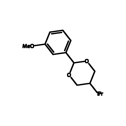 COc1cccc(C2OCC(C(C)C)CO2)c1